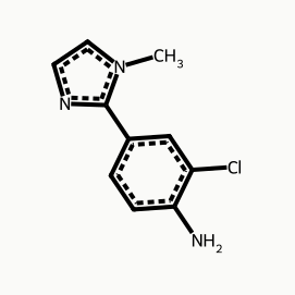 Cn1ccnc1-c1ccc(N)c(Cl)c1